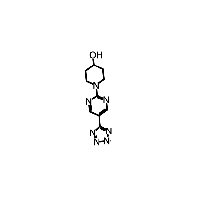 OC1CCN(c2ncc(C3=N[N]N=N3)cn2)CC1